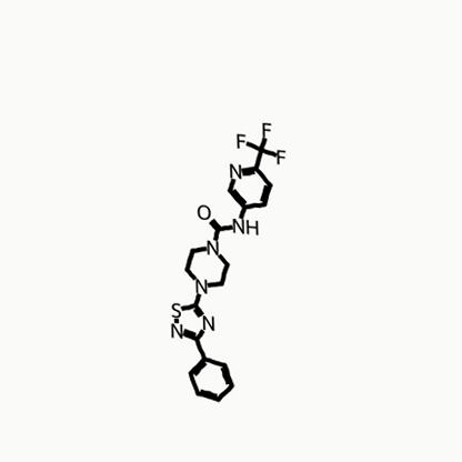 O=C(Nc1ccc(C(F)(F)F)nc1)N1CCN(c2nc(-c3ccccc3)ns2)CC1